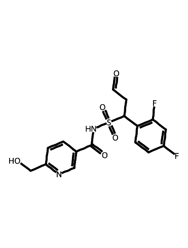 O=CCC(c1ccc(F)cc1F)S(=O)(=O)NC(=O)c1ccc(CO)nc1